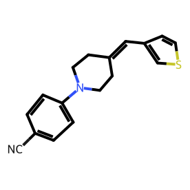 N#Cc1ccc(N2CCC(=Cc3ccsc3)CC2)cc1